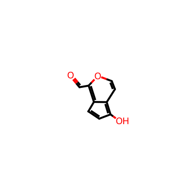 O=Cc1occc2c(O)ccc1-2